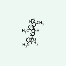 Cc1cc(-c2[nH]c3cc(C(=O)N4CCC[C@H](N)[C@@H]4C)sc3c2C(C)C)cn2ncnc12